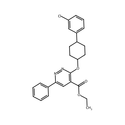 CCOC(=O)c1cc(-c2ccccc2)nnc1OC1CCC(c2cccc(Cl)c2)CC1